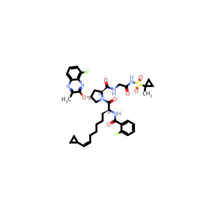 Cc1nc2cccc(F)c2nc1O[C@@H]1C[C@@H](C(=O)NCC(=O)NS(=O)(=O)C2(C)CC2)N(C(=O)[C@H](CCCCC/C=C\C2CC2)NC(=O)c2ccccc2F)C1